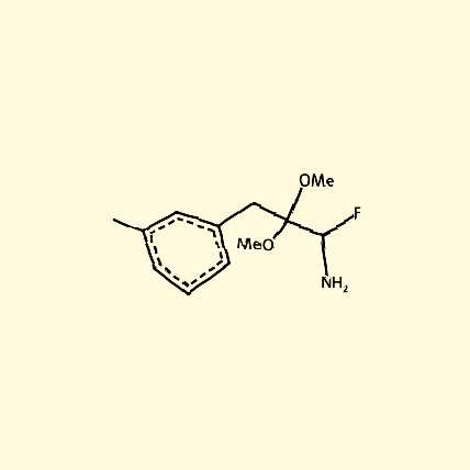 COC(Cc1cccc(C)c1)(OC)C(N)F